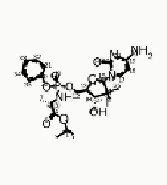 CC(C)OC(=O)[C@H](C)NP(=O)(OCC1O[C@@H](n2ccc(N)nc2=O)[C@](C)(F)[C@@H]1O)Oc1ccccc1